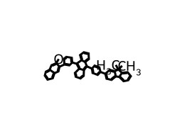 CC1(C)c2ccccc2-c2ccc(-c3ccc(-c4c5ccccc5c(-c5ccc6oc7cc8ccccc8cc7c6c5)c5ccccc45)cc3)cc21